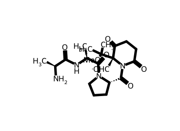 COC(C)(C)[C@]1([C]=O)C(=O)CCC(=O)N1C(=O)[C@@H]1CCCN1C(=O)[C@H](C)NC(=O)[C@H](C)N